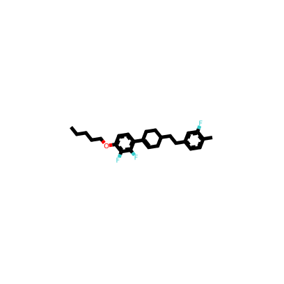 CCCCCOc1ccc(C2=CCC(CCc3ccc(C)c(F)c3)CC2)c(F)c1F